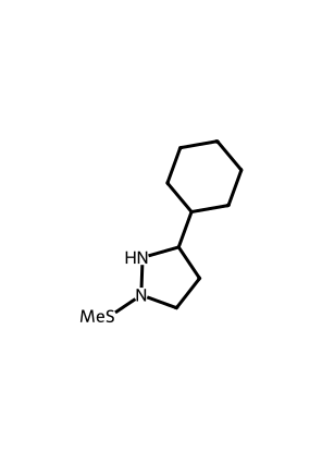 CSN1CCC(C2CCCCC2)N1